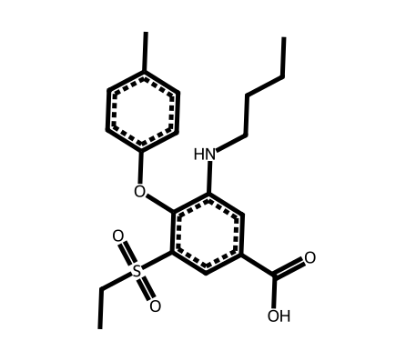 CCCCNc1cc(C(=O)O)cc(S(=O)(=O)CC)c1Oc1ccc(C)cc1